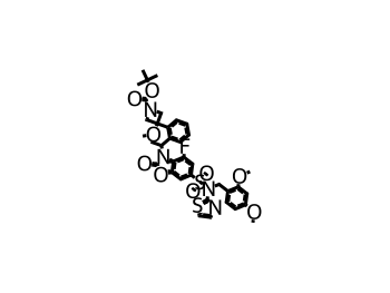 COc1ccc(CN(c2nccs2)S(=O)(=O)c2cc(F)c3c(c2)oc(=O)n3C(C)c2ccccc2C2(OC)CN(C(=O)OC(C)(C)C)C2)c(OC)c1